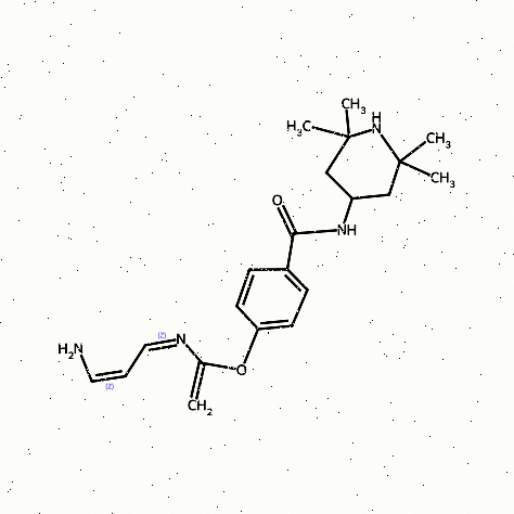 C=C(/N=C\C=C/N)Oc1ccc(C(=O)NC2CC(C)(C)NC(C)(C)C2)cc1